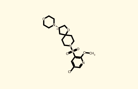 COc1ncc(Cl)cc1S(=O)(=O)N1CCC2(CC1)C[C@H](N1CCOCC1)CO2